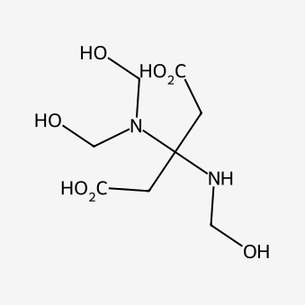 O=C(O)CC(CC(=O)O)(NCO)N(CO)CO